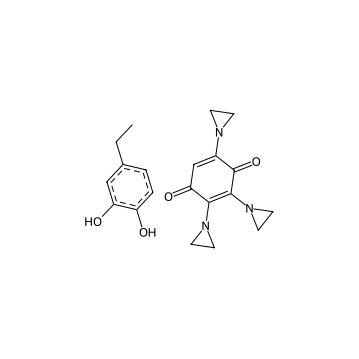 CCc1ccc(O)c(O)c1.O=C1C=C(N2CC2)C(=O)C(N2CC2)=C1N1CC1